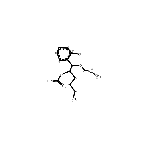 CCCCC(OC(N)=O)C(OCOC)c1ccccc1Cl